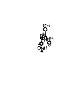 Cc1cc(-c2cnn3c(NC[C@H]4CC[C@@H](O)CC4)cc(NC4CCOCC4)nc23)ccc1C(=O)NC1CC1